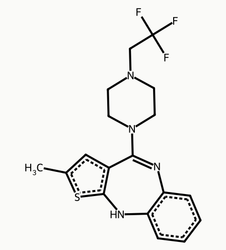 Cc1cc2c(s1)Nc1ccccc1N=C2N1CCN(CC(F)(F)F)CC1